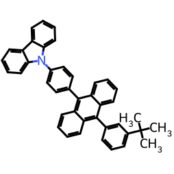 CC(C)(C)c1cccc(-c2c3ccccc3c(-c3ccc(-n4c5ccccc5c5ccccc54)cc3)c3ccccc23)c1